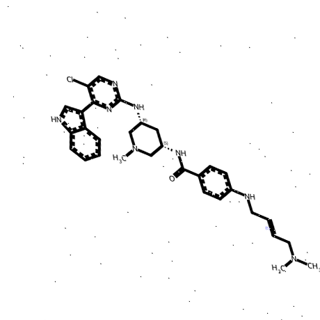 CN(C)C/C=C/CNc1ccc(C(=O)N[C@H]2C[C@@H](Nc3ncc(Cl)c(-c4c[nH]c5ccccc45)n3)CN(C)C2)cc1